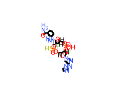 NC(=O)c1cccc2c1nnn2[C@@H]1O[C@@H]2COP(=O)(O)O[C@H]3[C@@H](F)[C@H](n4cnc5nc6nccn6c5c4)O[C@@H]3COP(=O)(S)O[C@@H]1[C@@H]2F